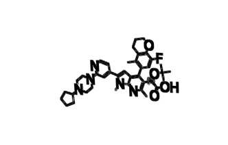 Cc1nc2c(cc(-c3ccnc(N4CCN(C5CCCC5)CC4)c3)n2C)c(-c2cc(F)c3c(c2C)CCCO3)c1[C@H](OC(C)(C)C)C(=O)O